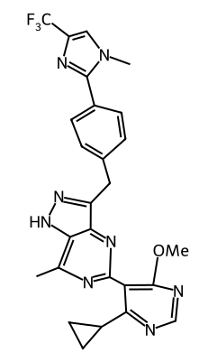 COc1ncnc(C2CC2)c1-c1nc(C)c2[nH]nc(Cc3ccc(-c4nc(C(F)(F)F)cn4C)cc3)c2n1